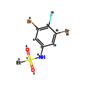 CCS(=O)(=O)Nc1cc(Br)c(F)c(Br)c1